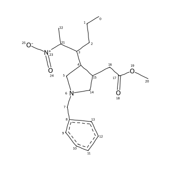 CCCC(C1CN(Cc2ccccc2)CC1CC(=O)OC)C(C)[N+](=O)[O-]